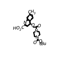 Cc1ccc2c(OCC(=O)N3CCN(C(=O)OC(C)(C)C)CC3)cc(C(=O)O)nc2c1